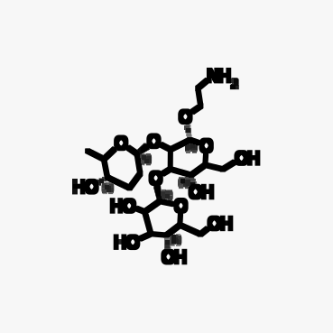 CC1O[C@@H](OC2C(O[C@H]3OC(CO)[C@H](O)C(O)C3O)[C@@H](O)C(CO)O[C@H]2OCCN)CC[C@@H]1O